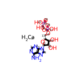 Nc1ncnc2c1ncn2[C@@H]1O[C@H](COP(=O)(O)OP(=O)(O)O)[C@@H](O)[C@H]1O.[CaH2]